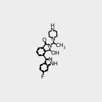 CC(N1CCNCC1)N1C(=O)c2cccc(-c3n[nH]c4cc(F)ccc34)c2C1O